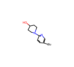 CCC(C)c1ccc(N2CCC(O)CC2)nc1